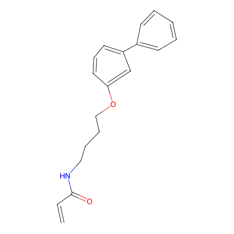 C=CC(=O)NCCCCOc1cccc(-c2ccccc2)c1